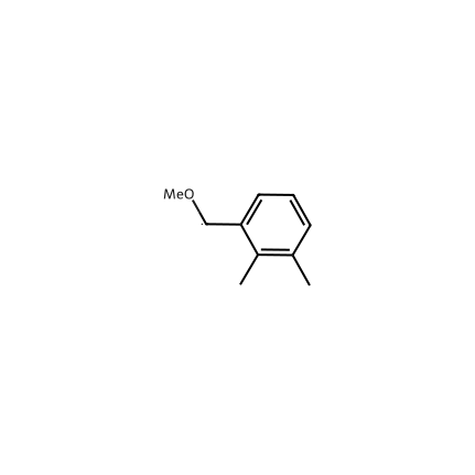 CO[CH]c1cccc(C)c1C